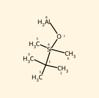 CC(C)(C)[Si](C)(C)[O][AlH2]